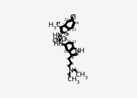 CCN(CC)CCCc1c[nH]c2ccc(NS(=O)(=O)Nc3sc4ccc(Cl)cc4c3C)cc12